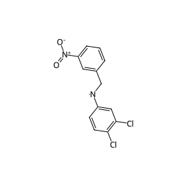 O=[N+]([O-])c1cccc(C[N]c2ccc(Cl)c(Cl)c2)c1